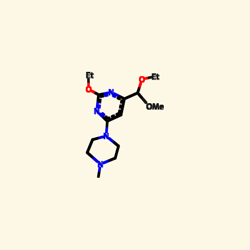 CCOc1nc(C(OC)OCC)cc(N2CCN(C)CC2)n1